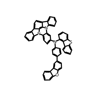 c1ccc2c(c1)oc1ccc(-c3ccc(N(c4ccc5c(c4)n4c6ccccc6c6ccc7c8ccccc8n5c7c64)c4cccc5sc6ccccc6c45)cc3)cc12